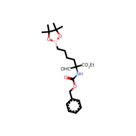 CCOC(=O)C(C=O)(CCCCB1OC(C)(C)C(C)(C)O1)NC(=O)OCc1ccccc1